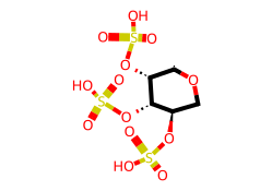 O=S(=O)(O)O[C@@H]1[C@H](OS(=O)(=O)O)[CH]OC[C@H]1OS(=O)(=O)O